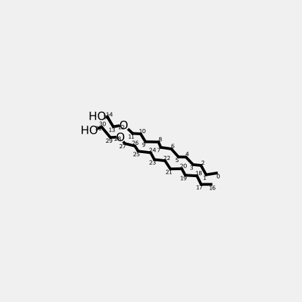 CCCCCCCCCCCCOCCO.CCCCCCCCCCCCOCCO